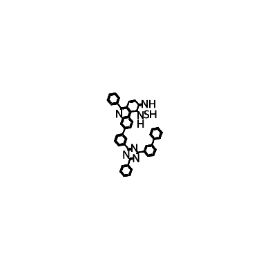 N=C1C=Cc2c(-c3ccccc3)nc3cc(-c4cccc(-c5nc(-c6ccccc6)nc(-c6cccc(-c7ccccc7)c6)n5)c4)ccc3c2C1NS